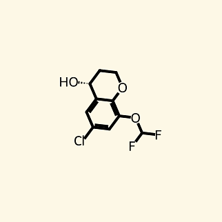 O[C@@H]1CCOc2c(OC(F)F)cc(Cl)cc21